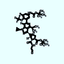 CC(C)c1nc(-c2cc(NC(=O)OC(C)(C)C)cc(F)c2OC(F)(F)F)c(F)c2c1c([C@@H]1[C@H]3CN(C(=O)OC(C)(C)C)[C@H](C(=O)NCC=O)[C@H]31)nn2C1CC1